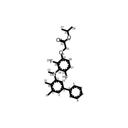 Cc1cc(-c2ccccc2)cc(N(C)c2c(F)ccc(OCC(=O)OC(C)C)c2F)c1C